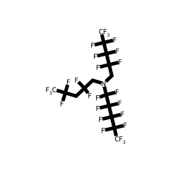 FC(F)(CN(CC(F)(F)C(F)(F)C(F)(F)C(F)(F)F)C(F)(F)C(F)(F)C(F)(F)C(F)(F)C(F)(F)F)CC(F)(F)C(F)(F)F